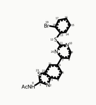 CC(=O)Nc1nc2ccc(-c3ccnc(Sc4ccccc4Br)n3)cc2s1